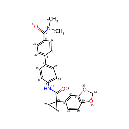 CN(C)C(=O)c1ccc(-c2ccc(NC(=O)C3(c4ccc5c(c4)OCO5)CC3)cc2)cc1